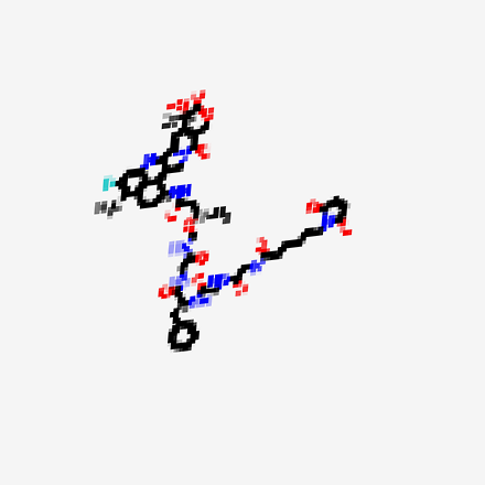 CC[C@@]1(O)C(=O)OCc2c1cc1n(c2=O)Cc2c-1nc1cc(F)c(C)c3c1c2[C@@H](NC(=O)C[C@@H](C)OCNC(=O)CNC(=O)[C@H](Cc1ccccc1)NC(=O)CNC(=O)CNC(=O)CCCCCN1C(=O)C=CC1=O)CC3